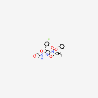 C[C@H]1COc2nc(C(=O)NC3CCOCC3)c(Cc3ccc(F)cc3)cc2N1C(=O)OCc1ccccc1